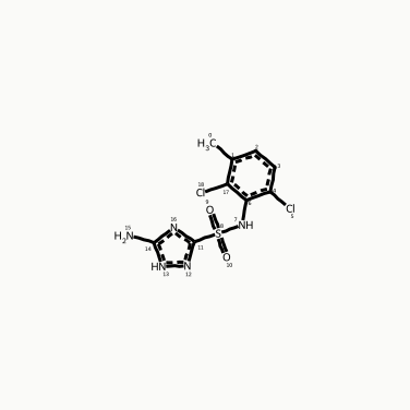 Cc1ccc(Cl)c(NS(=O)(=O)c2n[nH]c(N)n2)c1Cl